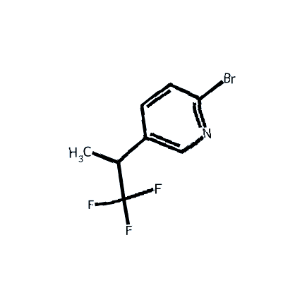 CC(c1ccc(Br)nc1)C(F)(F)F